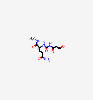 CNC(=O)[C@H](CCC(N)=O)NC(=O)NC(=O)CC=O